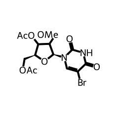 COC1C(OC(C)=O)[C@H](COC(C)=O)O[C@@H]1n1cc(Br)c(=O)[nH]c1=O